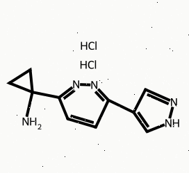 Cl.Cl.NC1(c2ccc(-c3cn[nH]c3)nn2)CC1